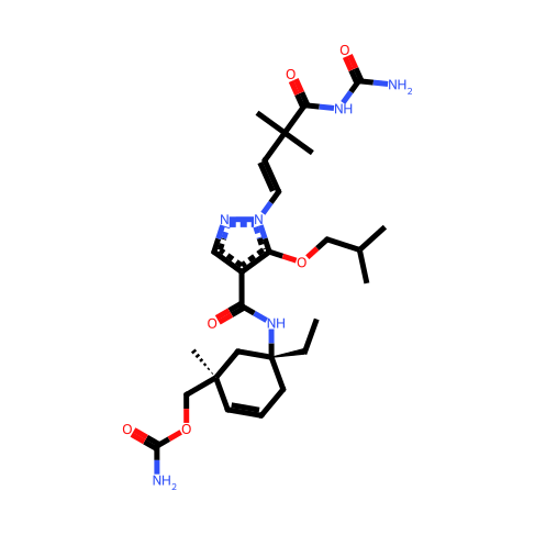 CC[C@@]1(NC(=O)c2cnn(/C=C/C(C)(C)C(=O)NC(N)=O)c2OCC(C)C)CC=C[C@@](C)(COC(N)=O)C1